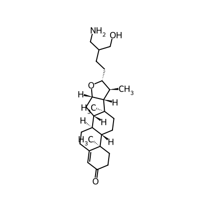 C[C@H]1[C@H]2[C@H](C[C@H]3[C@@H]4CCC5=CC(=O)CC[C@]5(C)[C@H]4CC[C@]23C)O[C@@H]1CCC(CN)CO